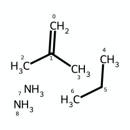 C=C(C)C.CCC.N.N